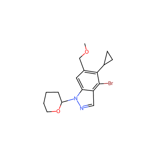 COCc1cc2c(cnn2C2CCCCO2)c(Br)c1C1CC1